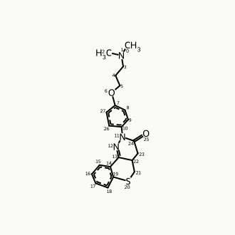 CN(C)CCCOc1ccc(N2N=C3c4ccccc4SCC3CC2=O)cc1